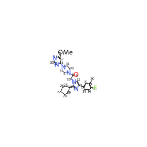 COc1cc(N2CCN(C(=O)Cn3cc(-c4ccc(F)c(C)c4)nc3C3CCCCC3)CC2)ncn1